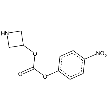 O=C(Oc1ccc([N+](=O)[O-])cc1)OC1CNC1